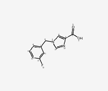 O=C(O)c1cn(Cc2cccc(F)c2)cn1